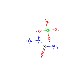 NNC(N)=O.[O-][Cl+3]([O-])([O-])O